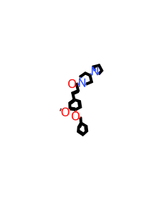 COc1cc(C=CC(=O)N2CCC(N3CCCC3)CC2)ccc1OCc1ccccc1